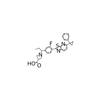 CCC(c1ccc(-c2nc3ccc(C4(c5ccccc5)CC4)nc3s2)c(F)c1)N1CC(C(=O)O)C1